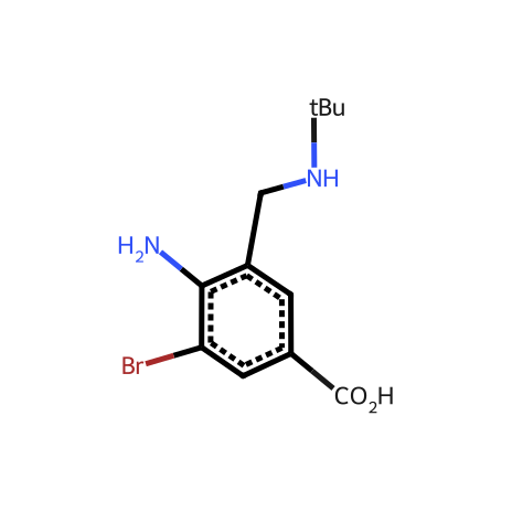 CC(C)(C)NCc1cc(C(=O)O)cc(Br)c1N